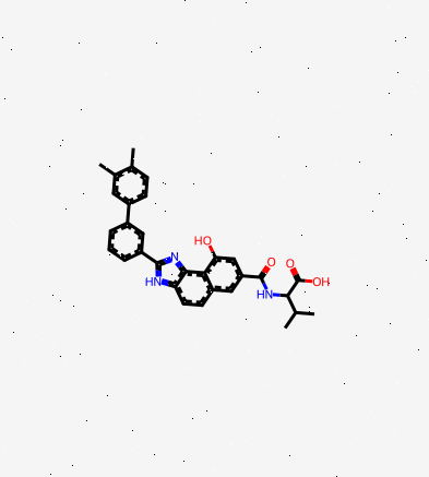 Cc1ccc(-c2cccc(-c3nc4c(ccc5cc(C(=O)NC(C(=O)O)C(C)C)cc(O)c54)[nH]3)c2)cc1C